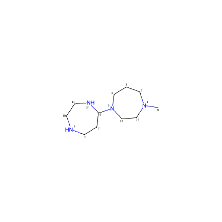 CN1CCCN(C2CCNCCN2)CC1